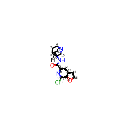 O=C(N[C@H]1CN2CCC1CC2)c1cc2ccoc2c(Cl)n1